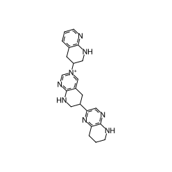 c1cnc2c(c1)CC([n+]1cnc3c(c1)CC(c1cnc4c(n1)CCCN4)CN3)CN2